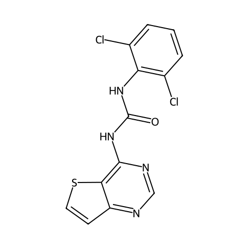 O=C(Nc1c(Cl)cccc1Cl)Nc1ncnc2ccsc12